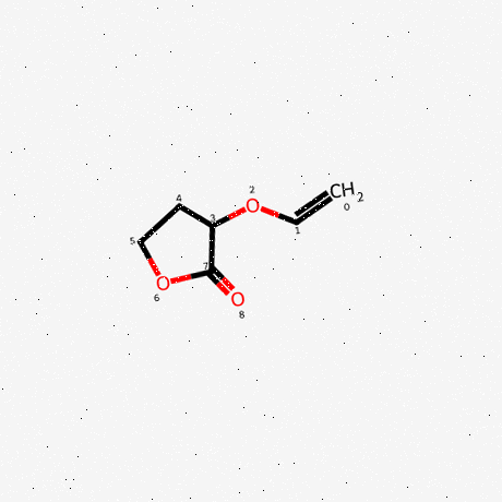 C=COC1CCOC1=O